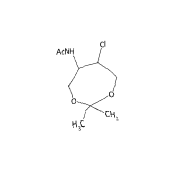 CC(=O)NC1COC(C)(C)OCC1Cl